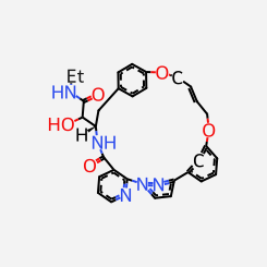 CCNC(=O)C(O)[C@@H]1Cc2ccc(cc2)OC/C=C/COc2cccc(c2)-c2ccn(n2)-c2ncccc2C(=O)N1